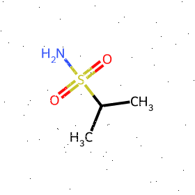 C[C](C)S(N)(=O)=O